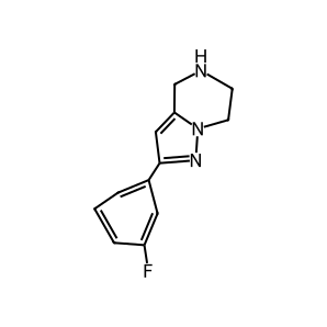 Fc1cccc(-c2cc3n(n2)CCNC3)c1